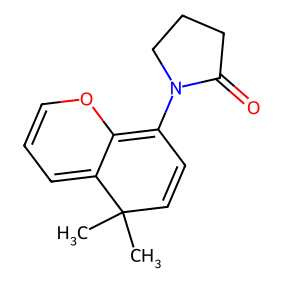 CC1(C)C=CC(N2CCCC2=O)=C2OC=CC=C21